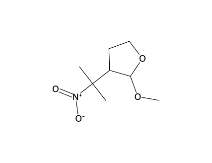 COC1OCCC1C(C)(C)[N+](=O)[O-]